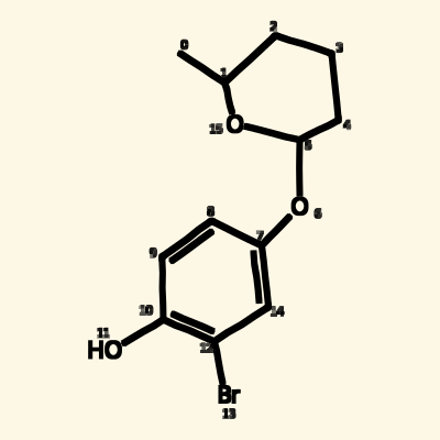 CC1CCCC(Oc2ccc(O)c(Br)c2)O1